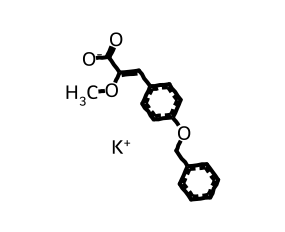 CO/C(=C\c1ccc(OCc2ccccc2)cc1)C(=O)[O-].[K+]